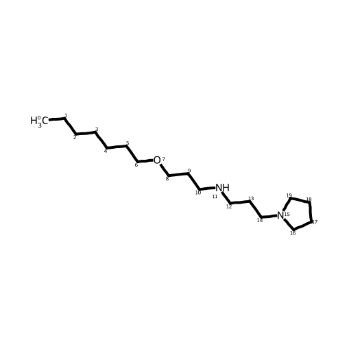 CCCCCCCOCCCNCCCN1CCCC1